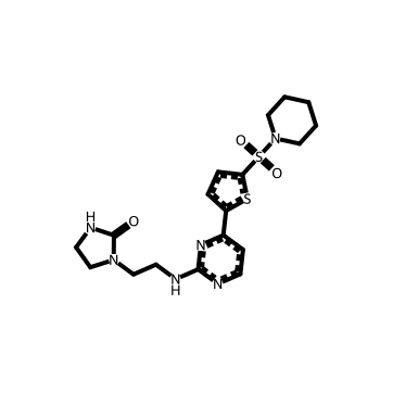 O=C1NCCN1CCNc1nccc(-c2ccc(S(=O)(=O)N3CCCCC3)s2)n1